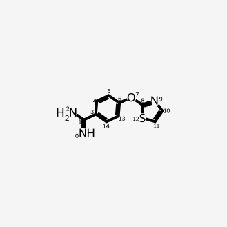 N=C(N)c1ccc(Oc2nccs2)cc1